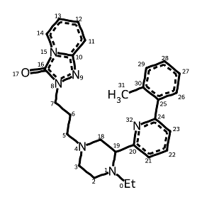 CCN1CCN(CCCn2nc3ccccn3c2=O)CC1c1cccc(-c2ccccc2C)n1